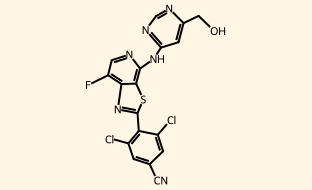 N#Cc1cc(Cl)c(-c2nc3c(F)cnc(Nc4cc(CO)ncn4)c3s2)c(Cl)c1